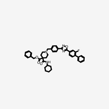 O=C(NC1CCCCC1)C1(C(=O)OCc2ccccc2)CCN(Cc2ccc(-c3noc(-c4ccc(-c5ccccc5)c(F)c4)n3)cc2)CC1